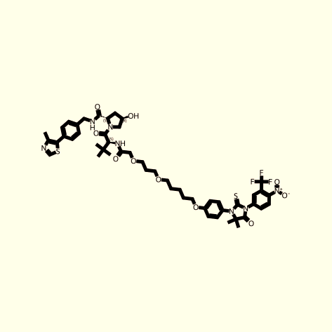 Cc1ncsc1-c1ccc(CNC(=O)[C@@H]2C[C@@H](O)CN2C(=O)[C@@H](NC(=O)COCCCOCCCCCOc2ccc(N3C(=S)N(c4ccc([N+](=O)[O-])c(C(F)(F)F)c4)C(=O)C3(C)C)cc2)C(C)(C)C)cc1